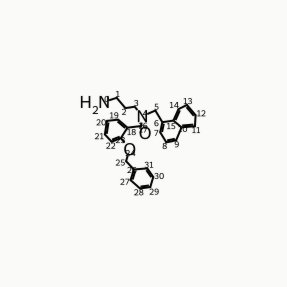 NCCCN(Cc1cccc2ccccc12)C(=O)c1ccccc1OCc1ccccc1